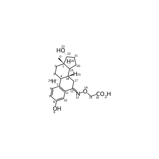 C[C@]12CC[C@@H]3c4ccc(O)cc4C(=NOCC(=O)O)C[C@H]3[C@@H]1CC[C@H]2O